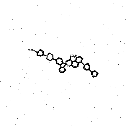 COc1ccc(N2CCN(c3ccc(C4(c5ccccc5)C=C(C(=O)O)c5c(ccc6c(-c7ccc(-c8ccccc8)cc7)cccc56)O4)cc3)CC2)cc1